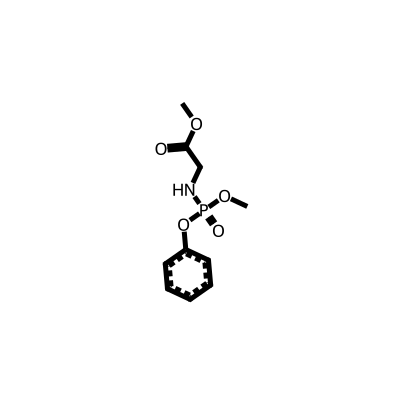 COC(=O)CNP(=O)(OC)Oc1ccccc1